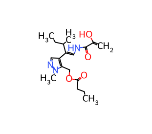 C=C(O)C(=O)N/C=C(/c1cnn(C)c1COC(=O)CCC)C(C)CC